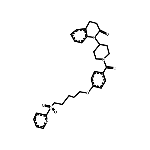 O=C(c1ccc(OCCCCCS(=O)(=O)c2ccccn2)cc1)N1CCC(N2C(=O)CCc3ccccc32)CC1